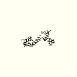 C=CC(=O)N1CCN(c2nc(OC[C@@H]3C[C@H](N4CCC5(CCN(Cc6ccc(-n7c(O)nnc7-c7cc(C(C)C)c(O)cc7O)cc6)CC5)CC4)CN3C)nc3c2CCN(c2cccc4cccc(Cl)c24)C3)C[C@@H]1CC#N